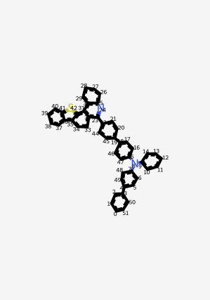 c1ccc(-c2ccc(N(c3ccccc3)c3ccc(-c4ccc(-c5nc6ccccc6c6c5ccc5c7ccccc7sc56)cc4)cc3)cc2)cc1